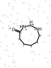 O=C1CCCCCNNN1